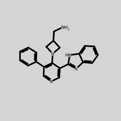 NCC1CN(c2c(-c3ccccc3)cncc2-c2nc3ccccc3[nH]2)C1